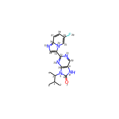 CC(C)C(C)n1c(=O)[nH]c2cnc(-c3cnc4ccc(F)cn34)nc21